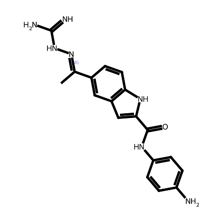 C/C(=N\NC(=N)N)c1ccc2[nH]c(C(=O)Nc3ccc(N)cc3)cc2c1